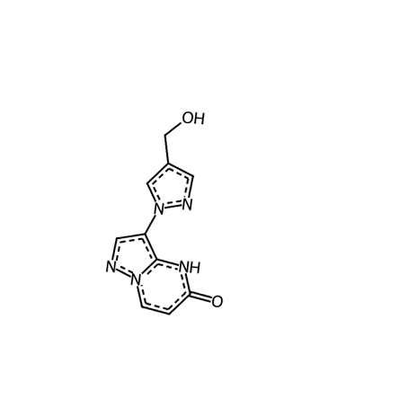 O=c1ccn2ncc(-n3cc(CO)cn3)c2[nH]1